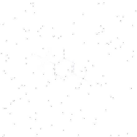 Cc1nc(C(C)(C)C)ccc1S(C)(=O)=O